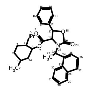 CC1CCC(C(C)C)C(OC(=O)C2C(c3ccccc3)OC(=O)N2C(C)c2cccc3ccccc23)C1